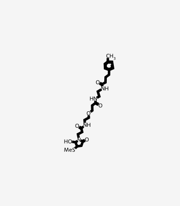 CSC1CC(=O)N(CCC(=O)NCCOCCC(=O)NCCNC(=O)CCCc2ccc(C)cc2)C1O